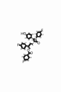 O=C(OC/C(=C\C[C@H]1C(=O)N(c2ccc(F)cc2)[C@@H]1c1ccc(O)cc1)c1ccc(F)cc1)c1ccc(F)cc1